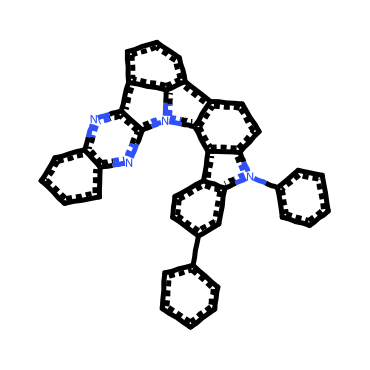 c1ccc(-c2ccc3c4c(ccc5c6cccc7c8nc9ccccc9nc8n(c67)c54)n(-c4ccccc4)c3c2)cc1